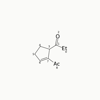 CCC(=O)C1CCC=C1C(C)=O